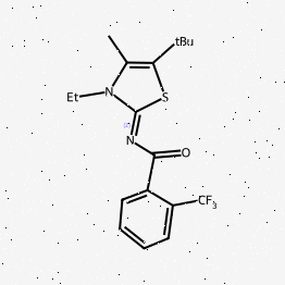 CCn1c(C)c(C(C)(C)C)s/c1=N\C(=O)c1ccccc1C(F)(F)F